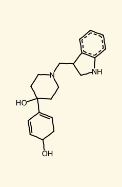 OC1C=CC(C2(O)CCN(CC3CNc4ccccc43)CC2)=CC1